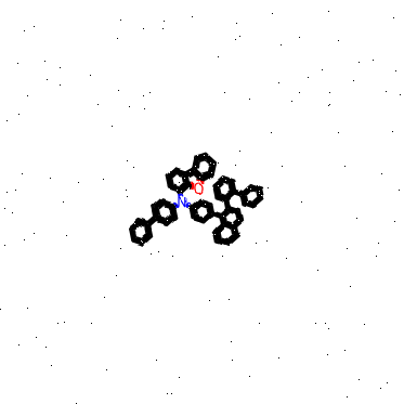 c1ccc(-c2ccc(N(c3ccc(-c4c(-c5ccccc5-c5ccccc5)ccc5ccccc45)cc3)c3cccc4c3oc3ccccc34)cc2)cc1